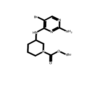 CC(C)(C)OC(=O)N1CCCC(Nc2nc(N)ncc2Br)C1